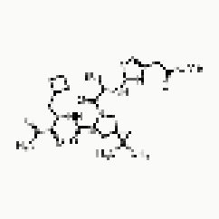 COC(=O)Cc1csc(NC(C(=O)N2CC3(C[C@H]2C(=O)NC(CC2CCC2)C(=O)C(N)=O)CC3(C)C)C(C)(C)C)n1